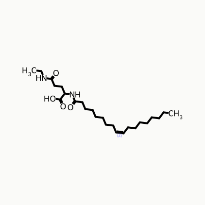 CCCCCCCC/C=C\CCCCCCCC(=O)NC(CCC(=O)NCC)C(=O)O